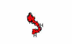 CN(CCN1CCC(OC(=O)Nc2ccccc2-c2ccccc2)CC1)C(=O)CCCCCNc1ccc(C(=O)N(C)CCCN(C)C(=O)CO[C@H]2Cc3ccccc3C23CCN(CC[C@@]2(c4ccc(F)cc4)CN(C(=O)c4cc(C(F)(F)F)cc(C(F)(F)F)c4)CCO2)CC3)cc1